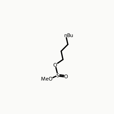 CCCCCCCOS(=O)OC